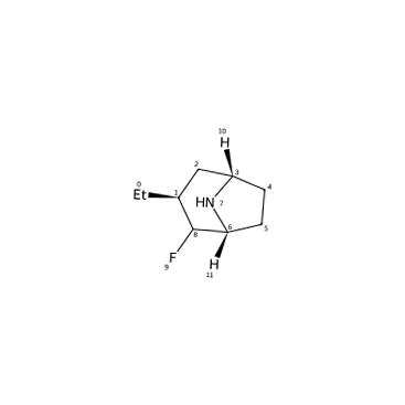 CC[C@H]1C[C@@H]2CC[C@@H](N2)C1F